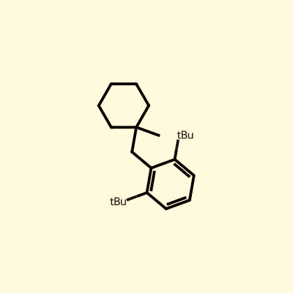 CC1(Cc2c(C(C)(C)C)cccc2C(C)(C)C)CCCCC1